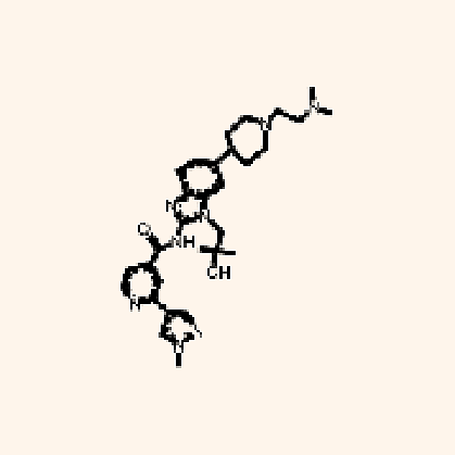 CN(C)CCN1CCC(c2ccc3nc(NC(=O)c4ccnc(-c5cnn(C)c5)c4)n(CC(C)(C)O)c3c2)CC1